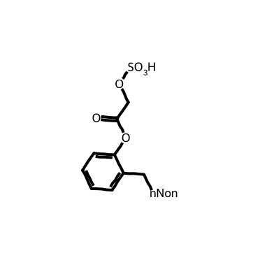 CCCCCCCCCCc1ccccc1OC(=O)COS(=O)(=O)O